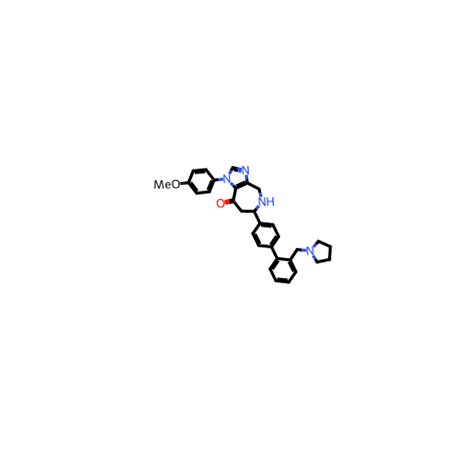 COc1ccc(-n2cnc3c2C(=O)CC(c2ccc(-c4ccccc4CN4CCCC4)cc2)NC3)cc1